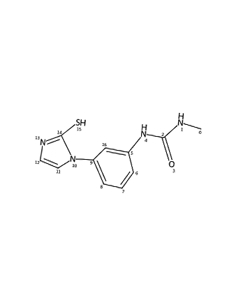 CNC(=O)Nc1cccc(-n2ccnc2S)c1